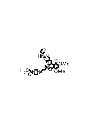 C=CC(=O)N1CCN(CCCc2cn3c(n2)c(-c2c(Cl)c(OC)cc(OC)c2Cl)cc2cnc(NC4CCOC4)nc23)CC1